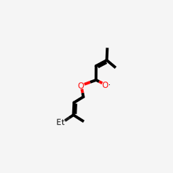 CCC(C)=CCOC([O])C=C(C)C